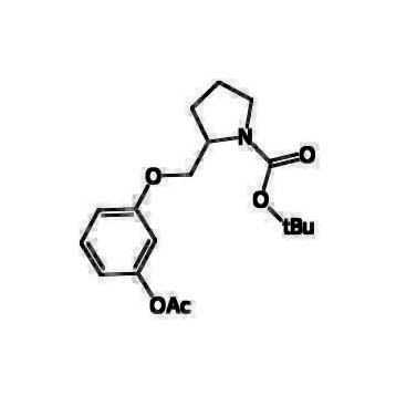 CC(=O)Oc1cccc(OCC2CCCN2C(=O)OC(C)(C)C)c1